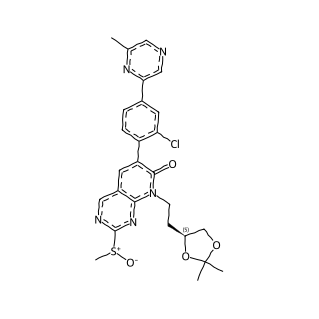 Cc1cncc(-c2ccc(-c3cc4cnc([S+](C)[O-])nc4n(CC[C@H]4COC(C)(C)O4)c3=O)c(Cl)c2)n1